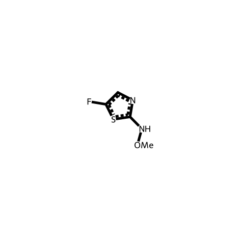 CONc1ncc(F)s1